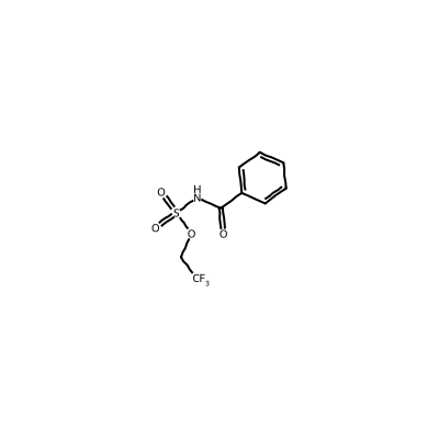 O=C(NS(=O)(=O)OCC(F)(F)F)c1ccccc1